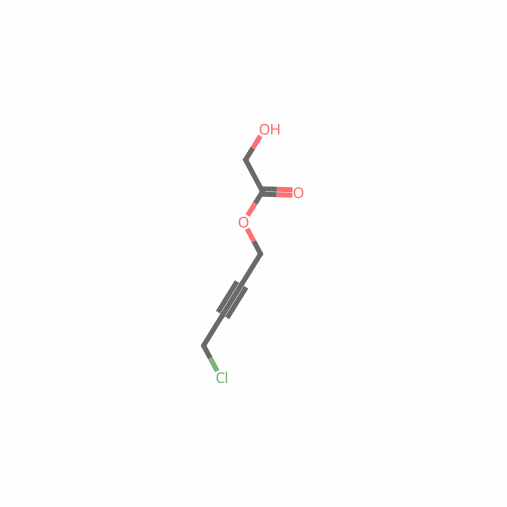 O=C(CO)OCC#CCCl